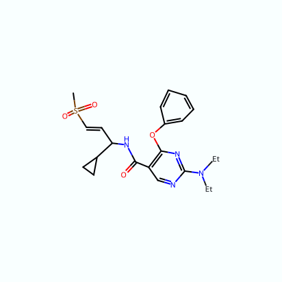 CCN(CC)c1ncc(C(=O)NC(C=CS(C)(=O)=O)C2CC2)c(Oc2ccccc2)n1